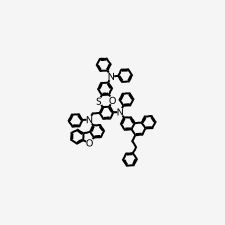 c1ccc(CCc2cc3ccccc3c3cc(N(c4ccccc4)c4ccc(CN(c5ccccc5)c5cccc6oc7ccccc7c56)c5c4Oc4cc(N(c6ccccc6)c6ccccc6)ccc4S5)ccc23)cc1